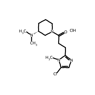 CN(C)[C@@H]1CCCN(C(=O)CCc2ncc(Cl)n2C)C1.Cl